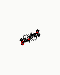 OC1C(c2cnc(-c3ccc(N(c4ccccc4)c4ccccc4)cc3)[nH]2)C(O)C1c1cnc(-c2ccc(N(c3ccccc3)c3ccccc3)cc2)[nH]1